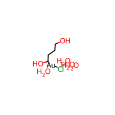 O.O.O.O.OCCC[CH](O)[Au][Cl]